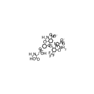 CP(=O)(O)CCC(N)C(=O)O.Nc1c([N+](=O)[O-])ccc(Oc2ccccc2)c1Cl.Nc1c([N+](=O)[O-])cnn1-c1c(Cl)cc(C(F)(F)F)cc1Cl